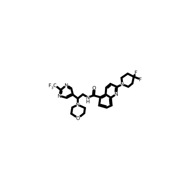 O=C(NCC(c1cnc(C(F)(F)F)nc1)N1CCOCC1)c1cccc2nc(N3CCC(F)(F)CC3)ccc12